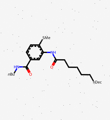 CCCCCCCCCCCCCCCC(=O)Nc1cc(C(=O)NCCCC)ccc1SC